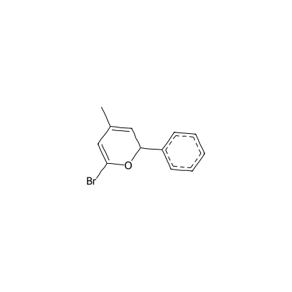 CC1=CC(c2ccccc2)OC(Br)=C1